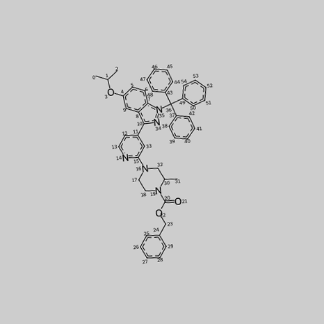 CC(C)Oc1ccc2c(c1)c(-c1ccnc(N3CCN(C(=O)OCc4ccccc4)C(C)C3)c1)nn2C(c1ccccc1)(c1ccccc1)c1ccccc1